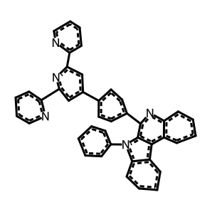 c1ccc(-n2c3ccccc3c3c4ccccc4nc(-c4ccc(-c5cc(-c6ccccn6)nc(-c6ccccn6)c5)cc4)c32)cc1